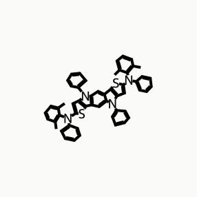 Cc1cccc(C)c1N(c1ccccc1)c1cc2c(s1)c1cc3c(cc1n2-c1ccccc1)c1sc(N(c2ccccc2)c2c(C)cccc2C)cc1n3-c1ccccc1